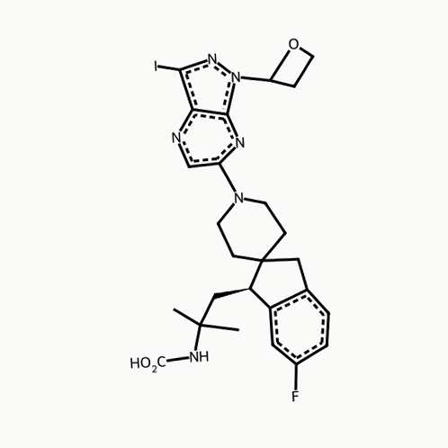 CC(C)(C[C@@H]1c2cc(F)ccc2CC12CCN(c1cnc3c(I)nn(C4CCO4)c3n1)CC2)NC(=O)O